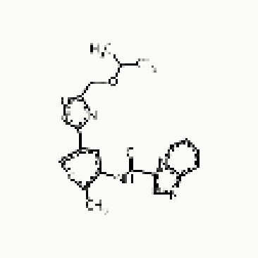 Cc1ccc(-c2noc(COC(C)C(F)(F)F)n2)cc1NC(=O)c1cnc2ccccn12